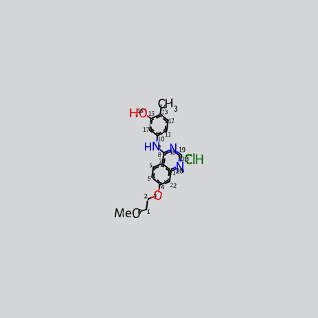 COCCOc1ccc2c(Nc3ccc(C)c(O)c3)ncnc2c1.Cl